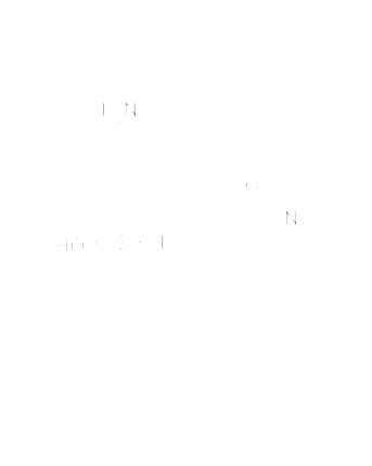 CS(=O)(=O)O.CS(=O)(=O)O.Cc1c(C)c2c(c(C)c1N)C[C@@](C)(CN1CCC(c3ccccc3)CC1)O2